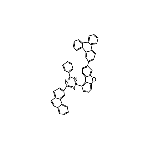 c1ccc(-c2nc(-c3ccc4ccc5ccccc5c4c3)nc(-c3cccc4oc5cc(-c6ccc7c8ccccc8c8ccccc8c7c6)ccc5c34)n2)cc1